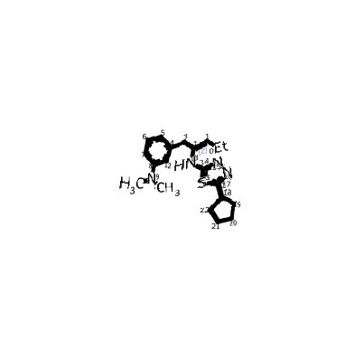 CC/C=C(/Cc1cccc(N(C)C)c1)Nc1nnc(C2CCCC2)s1